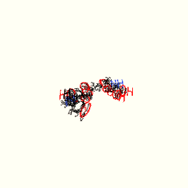 COc1ccc2c3c1O[C@@H]1C(OC(=O)CCC(=O)O[C@@H](C)C(=O)N[C@H](CC(=O)O)C(=O)O)=CC[C@]4(O)[C@H](C2)N(C)CC[C@@]314